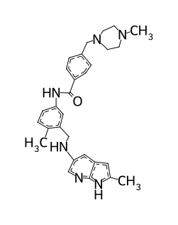 Cc1cc2cc(NCc3cc(NC(=O)c4ccc(CN5CCN(C)CC5)cc4)ccc3C)cnc2[nH]1